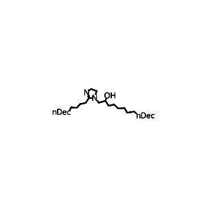 CCCCCCCCCCCCCCCCC(O)CN1CCN=C1CCCCCCCCCCCCCC